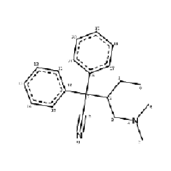 CCC(CN(C)C)C(C#N)(c1ccccc1)c1ccccc1